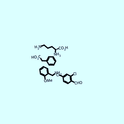 COc1ccccc1CN.NCCC[C@H](N)C(=O)O.O=C(O)Cc1ccccc1.O=Cc1ccc(Cl)cc1Cl